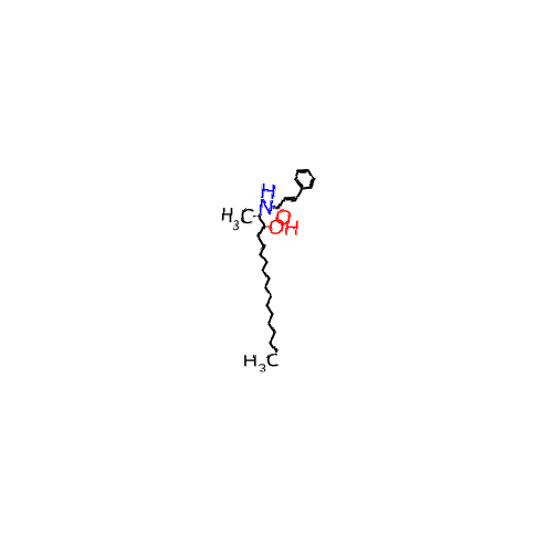 CCCCCCCCCCCCCCC[C@@H](O)[C@H](C)NC(=O)/C=C/c1ccccc1